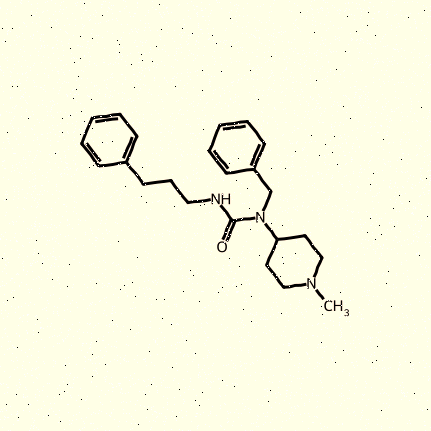 CN1CCC(N(Cc2ccccc2)C(=O)NCCCc2ccccc2)CC1